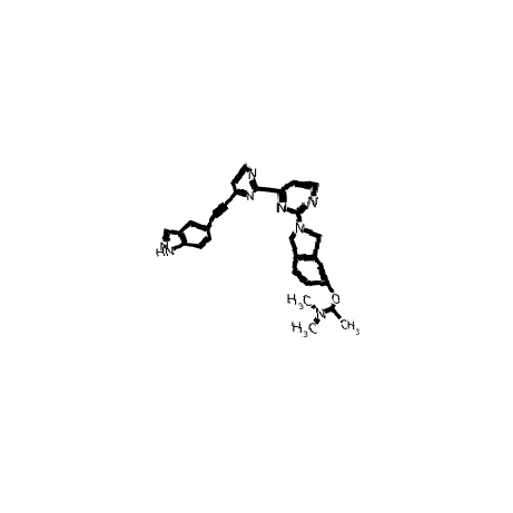 CC(Oc1ccc2c(c1)CN(c1nccc(-c3nccc(C#Cc4ccc5[nH]ncc5c4)n3)n1)C2)N(C)C